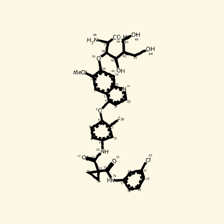 COc1cc2c(Oc3ccc(NC(=O)C4(C(=O)Nc5cccc(Cl)c5)CC4)cc3F)ccnc2cc1OC(C(N)C(=O)O)C(O)C(CO)CO